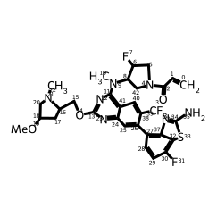 C=CC(=O)N1CC(F)C(N(C)c2nc(OCC3CC(OC)CN3C)nc3cc(-c4ccc(F)c5sc(N)nc45)c(C(F)(F)F)cc23)C1